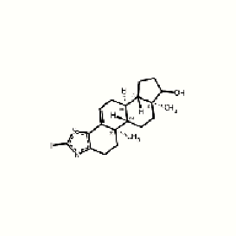 C[C@]12CCc3nc(I)sc3C1=CC[C@@H]1[C@@H]2CC[C@]2(C)C(O)CC[C@@H]12